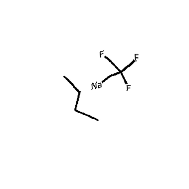 CCCC.F[C](F)(F)[Na]